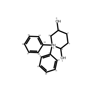 OC1CCC(O)[PH](c2ccccc2)(c2ccccc2)C1